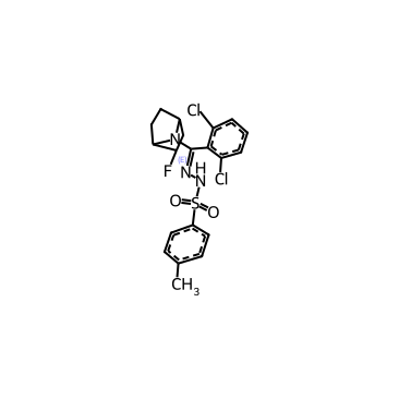 Cc1ccc(S(=O)(=O)N/N=C(\c2c(Cl)cccc2Cl)N2C3CCC2C(F)C3)cc1